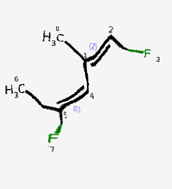 CC(=C/F)/C=C(\C)F